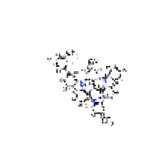 Cc1cc(-c2ccc3c4ccccc4n(-c4cc(C#N)cc(-n5c6ccccc6c6ccc(-c7cc(C)cc(C(F)(F)F)c7)cc65)c4-c4ccncc4)c3c2)cc(C(F)(F)F)c1